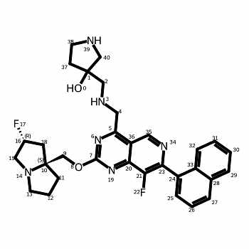 OC1(CNCc2nc(OC[C@@]34CCCN3C[C@H](F)C4)nc3c(F)c(-c4cccc5ccccc45)ncc23)CCNC1